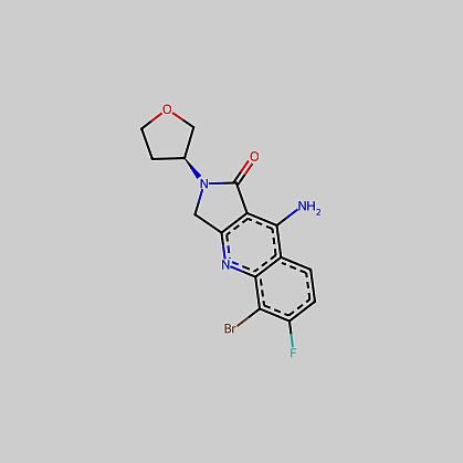 Nc1c2c(nc3c(Br)c(F)ccc13)CN([C@H]1CCOC1)C2=O